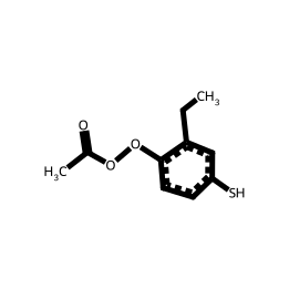 CCc1cc(S)ccc1OOC(C)=O